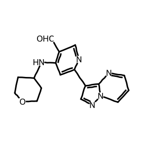 O=Cc1cnc(-c2cnn3cccnc23)cc1NC1CCOCC1